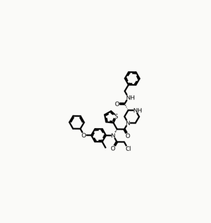 Cc1cc(OC2C=CC=CC2)ccc1N(C(=O)CCl)[C@@H](C(=O)N1CCN[C@@H](C(=O)NCc2ccccc2)C1)c1cccs1